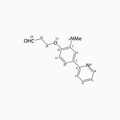 CNc1cc(-c2ccccn2)ccc1OCCC=O